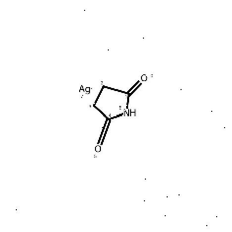 O=C1CCC(=O)N1.[Ag]